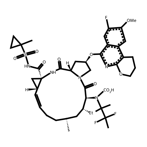 CC[C@@H]1C[C@H](C)CC/C=C\[C@@H]2C[C@@]2(C(=O)NS(=O)(=O)C2(C)CC2)NC(=O)[C@@H]2C[C@@H](Oc3nc4c(c5cc(OC)c(F)cc35)CCCO4)CN2C(=O)[C@H]1N(C(=O)O)C(C)(C)C(C)(F)F